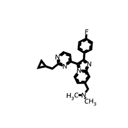 CN(C)Cc1ccn2c(-c3ccnc(CC4CC4)n3)c(-c3ccc(F)cc3)nc2c1